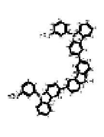 CCCCc1cccc(N2c3ccccc3C3C=C(c4ccc5[nH]c6ccc(-c7ccc8c(c7)c7ccccc7n8-c7cccc(CCCC)c7)cc6c5c4)C=CC32)c1